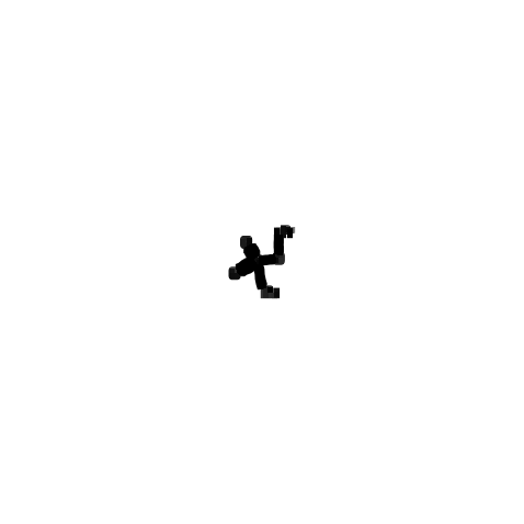 CCCOS(=O)(=O)C(C)CC